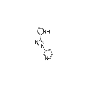 c1cncc(-n2cnc(-c3ccc[nH]3)c2)c1